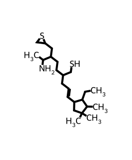 CCC1C(/C=C/CC(CS)CCC(CC2CS2)C(C)N)CC(C)(C)C1C